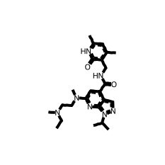 CCN(C)CCN(C)c1cc(C(=O)NCc2c(C)cc(C)[nH]c2=O)c2cnn(C(C)C)c2n1